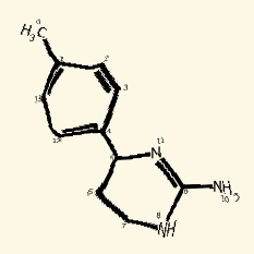 Cc1ccc(C2CCNC(N)=N2)cc1